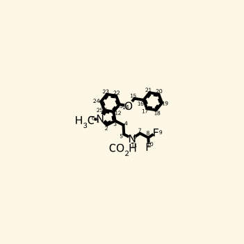 Cn1cc(CCN(CC(F)F)C(=O)O)c2c(OCc3ccccc3)cccc21